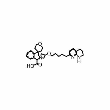 CC1(c2ccccc2C(C(=O)O)N2CC(OCCCCCc3ccc4c(n3)NCCC4)C2)CCOCC1